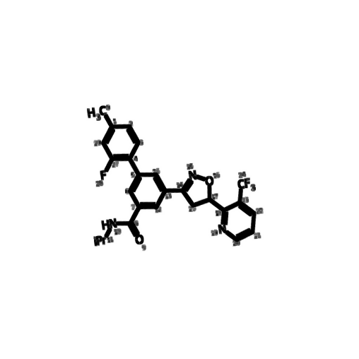 Cc1ccc(-c2cc(C(=O)NC(C)C)cc(C3=NOC(c4ncccc4C(F)(F)F)C3)c2)c(F)c1